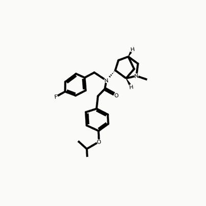 CC(C)Oc1ccc(CC(=O)N(Cc2ccc(F)cc2)[C@@H]2C[C@H]3C[C@@H]2N(C)C3)cc1